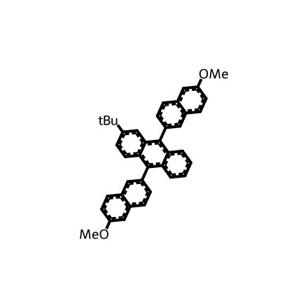 COc1ccc2cc(-c3c4ccccc4c(-c4ccc5cc(OC)ccc5c4)c4cc(C(C)(C)C)ccc34)ccc2c1